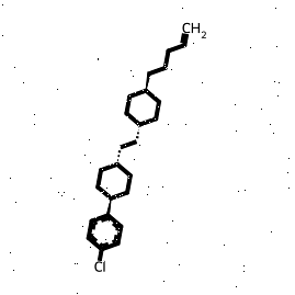 C=CCCC[C@H]1CC[C@H](CC[C@H]2CC[C@H](c3ccc(Cl)cc3)CC2)CC1